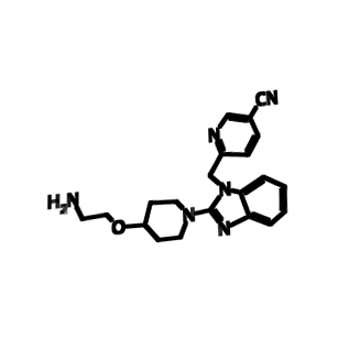 N#Cc1ccc(Cn2c(N3CCC(OCCN)CC3)nc3ccccc32)nc1